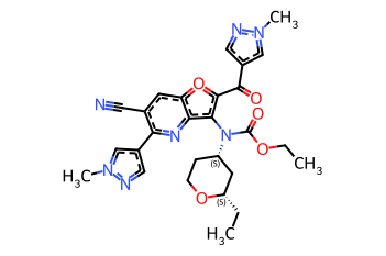 CCOC(=O)N(c1c(C(=O)c2cnn(C)c2)oc2cc(C#N)c(-c3cnn(C)c3)nc12)[C@H]1CCO[C@@H](CC)C1